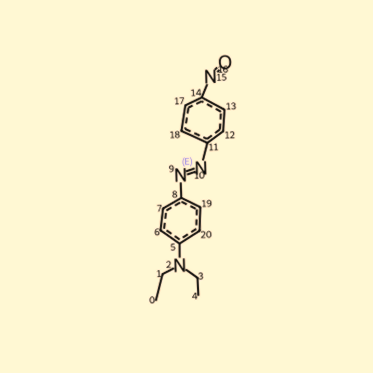 CCN(CC)c1ccc(/N=N/c2ccc(N=O)cc2)cc1